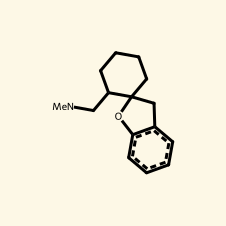 CNCC1CCCCC12Cc1ccccc1O2